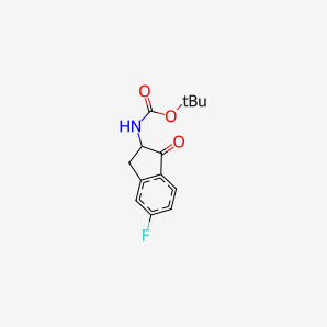 CC(C)(C)OC(=O)NC1Cc2cc(F)ccc2C1=O